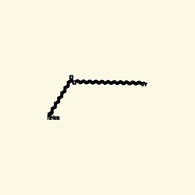 CCCCCCC=CCCCCCCCCCCCC(=O)OCCCCCCCCCCCCCCCCCCCCCC(C)C